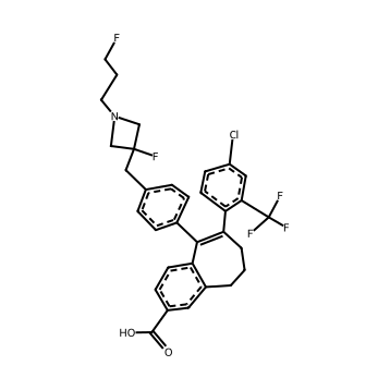 O=C(O)c1ccc2c(c1)CCCC(c1ccc(Cl)cc1C(F)(F)F)=C2c1ccc(CC2(F)CN(CCCF)C2)cc1